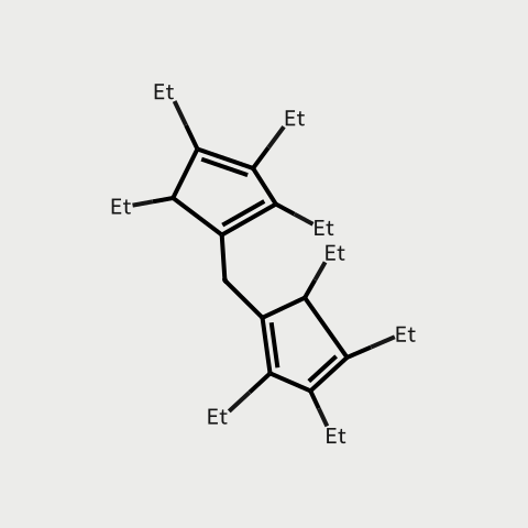 CCC1=C(CC)C(CC)C(CC2=C(CC)C(CC)=C(CC)C2CC)=C1CC